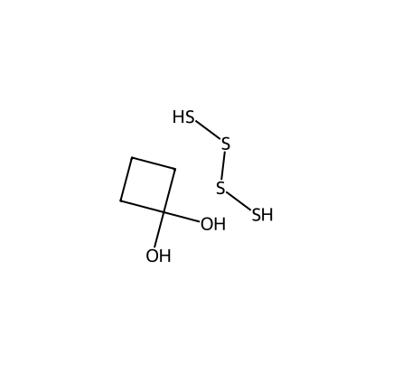 OC1(O)CCC1.SSSS